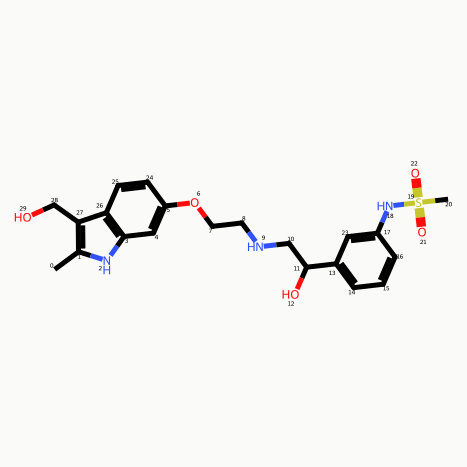 Cc1[nH]c2cc(OCCNCC(O)c3cccc(NS(C)(=O)=O)c3)ccc2c1CO